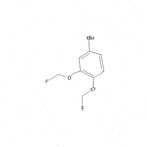 CC(C)(C)c1ccc(OCF)c(OCF)c1